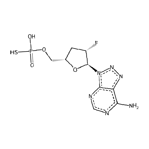 Nc1ncnc2c1nnn2[C@H]1O[C@H](COP(=O)(O)S)C[C@@H]1F